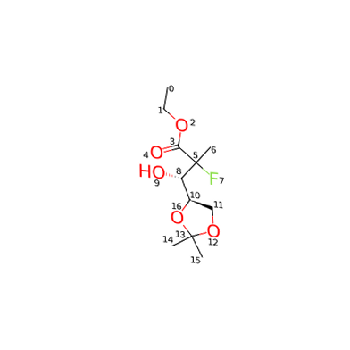 CCOC(=O)C(C)(F)[C@@H](O)[C@H]1COC(C)(C)O1